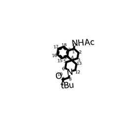 CC(=O)NC1CCC2(CCN(CC(=O)C(C)(C)C)CC2)c2ccccc21